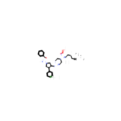 COC(=O)N(CCC(C)CC(C)(C)C)C1CCN(CC2CC(N(C)C(=O)c3ccccc3)CC2c2ccccc2)CC1.Cl